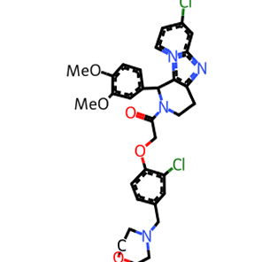 COc1ccc(C2c3c(nc4cc(Cl)ccn34)CCN2C(=O)COc2ccc(CN3CCOCC3)cc2Cl)cc1OC